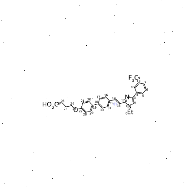 CCn1cc(-c2cccc(C(F)(F)F)c2)nc1/C=C/c1ccc(-c2ccc(OCCCC(=O)O)cc2)cc1